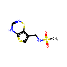 CS(=O)(=O)NCc1csc2c1SN=CN2